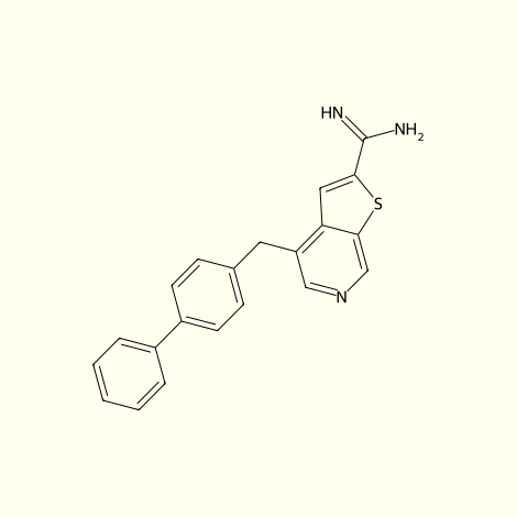 N=C(N)c1cc2c(Cc3ccc(-c4ccccc4)cc3)cncc2s1